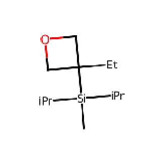 CCC1([Si](C)(C(C)C)C(C)C)COC1